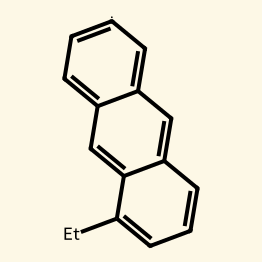 CCc1cccc2cc3c[c]ccc3cc12